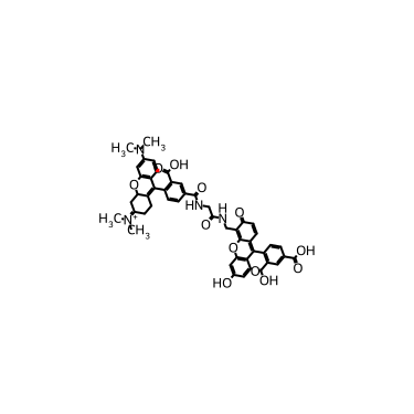 CN(C)c1ccc2c(c1)OC1CC(=[N+](C)C)CCC1=C2c1ccc(C(=O)NCC(=O)NCc2c3oc4cc(O)ccc4c(-c4ccc(C(=O)O)cc4C(=O)O)c-3ccc2=O)cc1C(=O)O